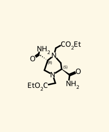 CCOC(=O)CN1C[C@@H](C(N)=O)N(CC(=O)OCC)C[C@@H]1C(N)=O